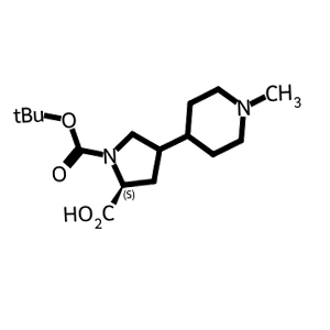 CN1CCC(C2C[C@@H](C(=O)O)N(C(=O)OC(C)(C)C)C2)CC1